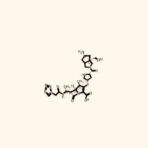 C[C@@H](NC(=O)Cn1cnnn1)[C@H]1C(=O)N2C(C(=O)O)=C(S[C@@H]3CN[C@H](C(=O)N4CC5C[C@H](N)C[C@@]5(CO)C4)C3)[C@H](C)[C@H]12